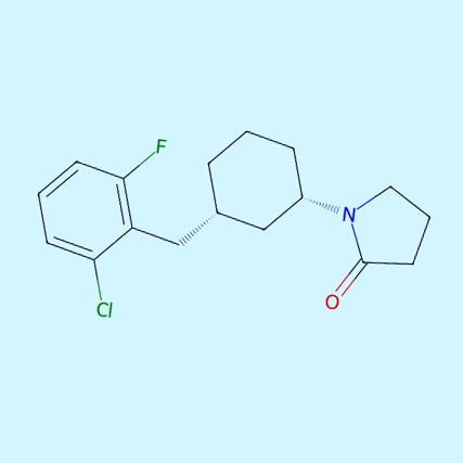 O=C1CCCN1[C@H]1CCC[C@@H](Cc2c(F)cccc2Cl)C1